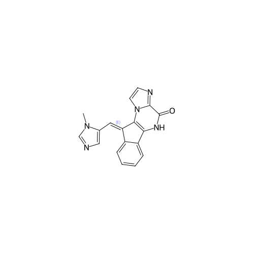 Cn1cncc1/C=c1\c2ccccc2c2[nH]c(=O)c3nccn3c12